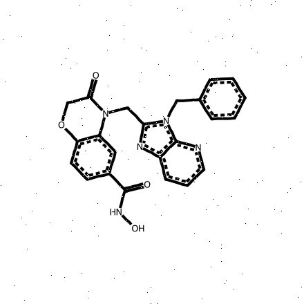 O=C(NO)c1ccc2c(c1)N(Cc1nc3cccnc3n1Cc1ccccc1)C(=O)CO2